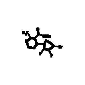 CNC(=O)c1c(-c2ccc(Br)c(F)c2F)ccnc1C